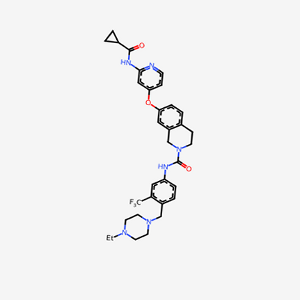 CCN1CCN(Cc2ccc(NC(=O)N3CCc4ccc(Oc5ccnc(NC(=O)C6CC6)c5)cc4C3)cc2C(F)(F)F)CC1